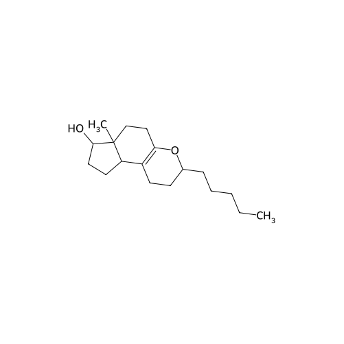 CCCCCC1CCC2=C(CCC3(C)C(O)CCC23)O1